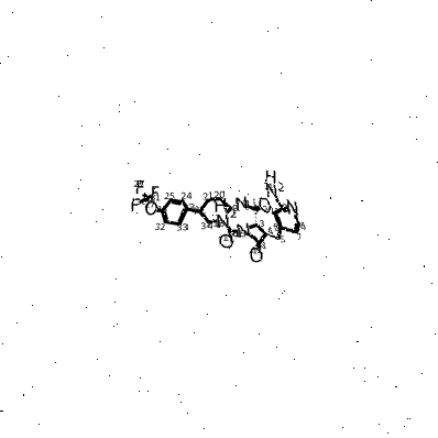 NC(=O)[C@@H]1[C@@H](Cc2ccnc(N)c2)C(=O)N1C(=O)N1CCCC(c2ccc(OC(F)(F)F)cc2)C1